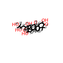 CC1(C)C(=O)[C@@H](O)C[C@@H]2C1=CC[C@@H]1[C@@]2(C)C(=O)C[C@]23C[C@](O)(C(=O)CC(O)C(C)(C)O)[C@H]2[C@H](O)C[C@@]13C